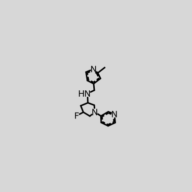 Cc1cc(CNC2CC(F)CN(c3cccnc3)C2)ccn1